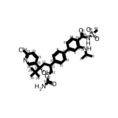 CC(C)Nc1cc(-c2ccc(C(COC(N)=O)C[C@](O)(c3ccc(Cl)nc3)C(C)(C)C)cc2)ccc1C(=O)NS(C)(=O)=O